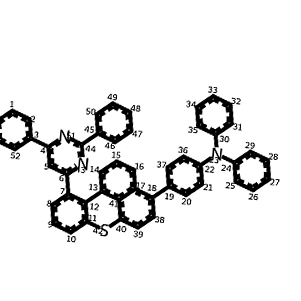 c1ccc(-c2cc(-c3cccc4c3-c3cccc5c(-c6ccc(N(c7ccccc7)c7ccccc7)cc6)ccc(c35)S4)nc(-c3ccccc3)n2)cc1